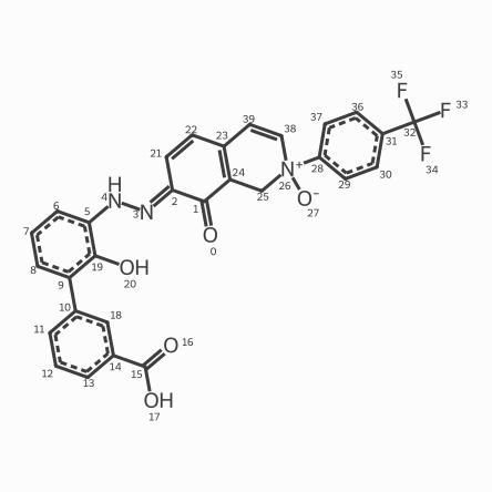 O=C1C(=NNc2cccc(-c3cccc(C(=O)O)c3)c2O)C=CC2=C1C[N+]([O-])(c1ccc(C(F)(F)F)cc1)C=C2